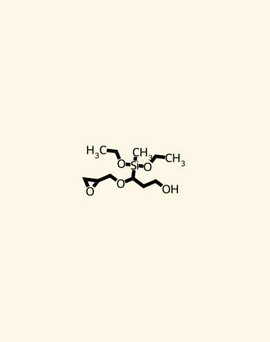 CCO[Si](C)(OCC)C(CCO)OCC1CO1